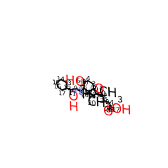 CO[C@]12CC[C@@H](O)[C@H](/C=C/C(O)C3CCCCC3)[C@H]1C(C)C2=CCCC(=O)O